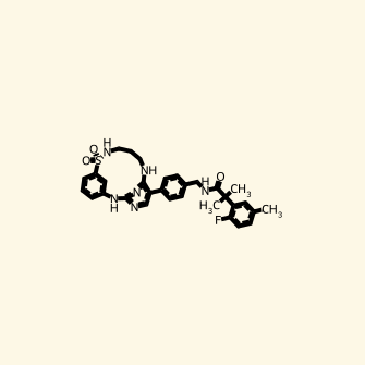 Cc1ccc(F)c(C(C)(C)C(=O)NCc2ccc(-c3cnc4nc3NCCCNS(=O)(=O)c3cccc(c3)N4)cc2)c1